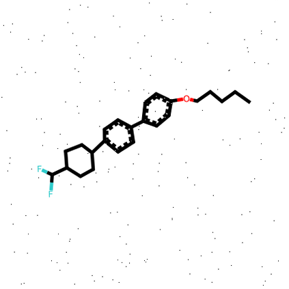 CCCCCOc1ccc(-c2ccc(C3CCC(C(F)F)CC3)cc2)cc1